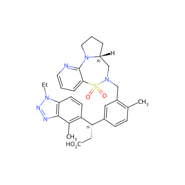 CCn1nnc2c(C)c([C@@H](CC(=O)O)c3ccc(C)c(CN4C[C@H]5CCCN5c5ncccc5S4(=O)=O)c3)ccc21